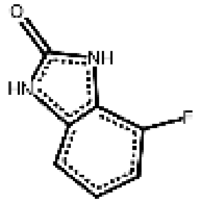 O=c1[nH]c2cccc(F)c2[nH]1